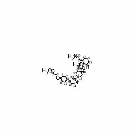 COCCOc1ccc(-c2ccnc(N3CCC(F)(C(=O)NC4(C)CCCCC4CCN)CC3)n2)cc1